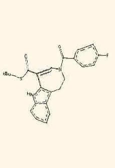 CC(C)(C)SC(=O)C1=CN(C(=O)c2ccc(F)cc2)CCc2c1[nH]c1ccccc21